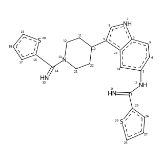 N=C(Nc1ccc2[nH]cc(C3CCN(C(=N)c4cccs4)CC3)c2c1)c1cccs1